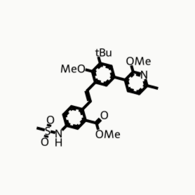 COC(=O)c1cc(NS(C)(=O)=O)ccc1C=Cc1cc(-c2ccc(C)nc2OC)cc(C(C)(C)C)c1OC